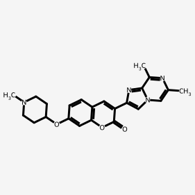 Cc1cn2cc(-c3cc4ccc(OC5CCN(C)CC5)cc4oc3=O)nc2c(C)n1